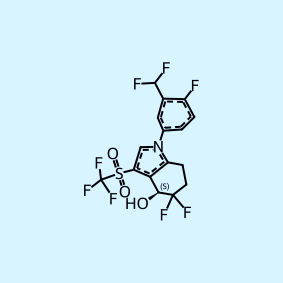 O=S(=O)(c1cn(-c2ccc(F)c(C(F)F)c2)c2c1[C@H](O)C(F)(F)CC2)C(F)(F)F